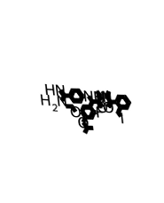 CCOc1cc(C(Nc2ccc(C(=N)N)cc2)C(=O)N(C)N(C)C(=O)c2ccccc2CI)c(F)cc1OC(C)C